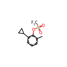 Cc1cccc(C2CC2)c1OS(=O)(=O)C(F)(F)F